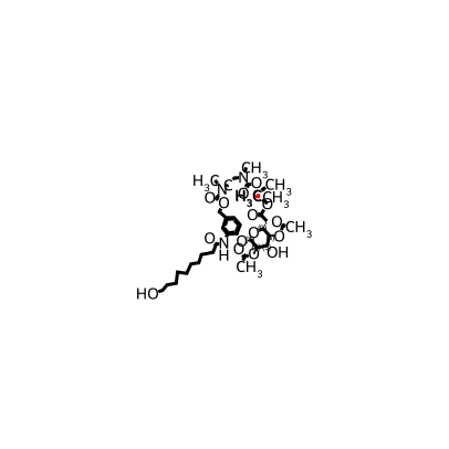 COC(=O)C[C@H]1O[C@@H](Oc2ccc(COC(=O)N(C)CCN(C)C(=O)OC(C)(C)C)cc2NC(=O)CCCCCCCCCO)[C@H](OC(C)=O)[C@@H](O)[C@@H]1OC(C)=O